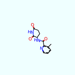 Cc1cccnc1C(=O)NC1CCC(=O)NC1=O